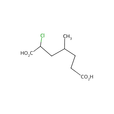 CC(CCC(=O)O)CC(Cl)C(=O)O